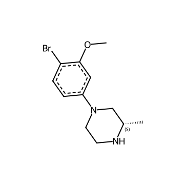 COc1cc(N2CCN[C@@H](C)C2)ccc1Br